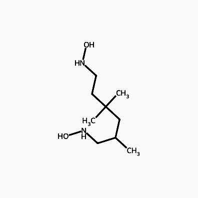 CC(CNO)CC(C)(C)CCNO